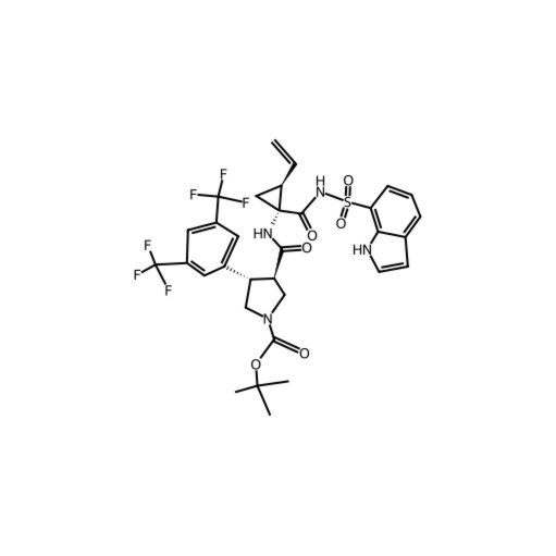 C=C[C@@H]1C[C@]1(NC(=O)[C@H]1CN(C(=O)OC(C)(C)C)C[C@@H]1c1cc(C(F)(F)F)cc(C(F)(F)F)c1)C(=O)NS(=O)(=O)c1cccc2cc[nH]c12